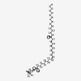 CCCCCCCCCCCCCCCC(=O)CCCCCCCC/C=C\CCCCCCCC(=O)OCC[N+](C)(C)C